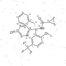 COc1ccc(C(F)(F)F)cc1[C@](Cc1ccccc1)(NC(=O)C1CC1)c1ccc(Cl)cn1